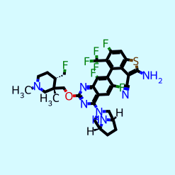 CN1CC[C@H](CF)[C@](C)(COc2nc(N3C[C@H]4CC[C@@H](C3)N4)c3cc(F)c(-c4c(C(F)(F)F)c(F)cc5sc(N)c(C#N)c45)c(F)c3n2)C1